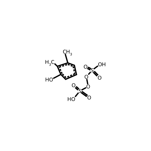 Cc1cccc(O)c1C.O=S(=O)(O)OOS(=O)(=O)O